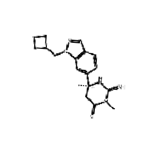 CN1C(=N)N[C@](C)(c2ccc3cnn(CC4CCC4)c3c2)CC1=O